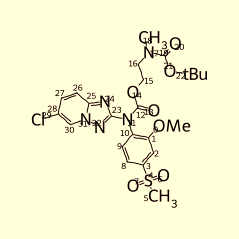 COc1cc(S(C)(=O)=O)ccc1N(C(=O)OCCN(C)C(=O)OC(C)(C)C)c1nc2ccc(Cl)cn2n1